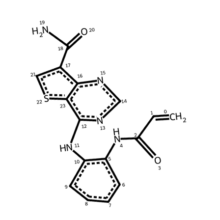 C=CC(=O)Nc1ccccc1Nc1ncnc2c(C(N)=O)csc12